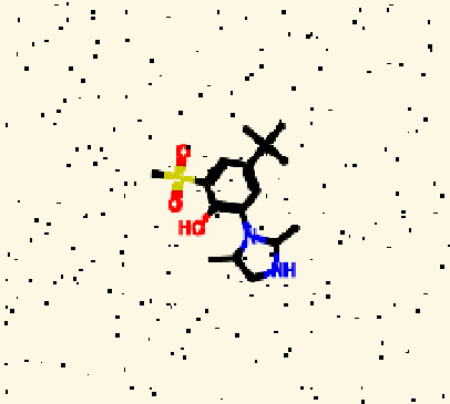 CC1CNC(C)N1c1cc(C(C)(C)C)cc(S(C)(=O)=O)c1O